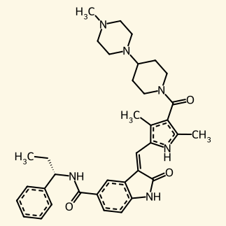 CC[C@H](NC(=O)c1ccc2c(c1)/C(=C/c1[nH]c(C)c(C(=O)N3CCC(N4CCN(C)CC4)CC3)c1C)C(=O)N2)c1ccccc1